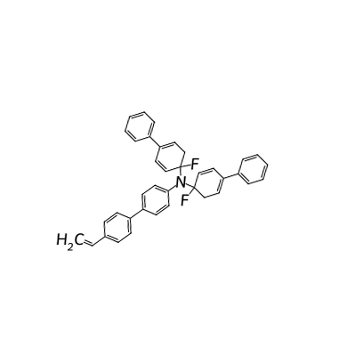 C=Cc1ccc(-c2ccc(N(C3(F)C=CC(c4ccccc4)=CC3)C3(F)C=CC(c4ccccc4)=CC3)cc2)cc1